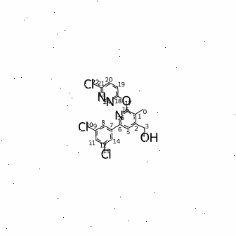 Cc1c(CO)cc(-c2cc(Cl)cc(Cl)c2)nc1Oc1ccc(Cl)nn1